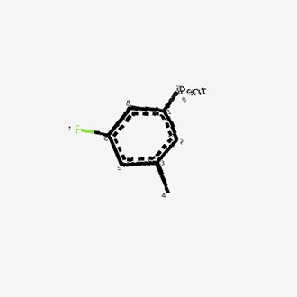 CCCC(C)c1cc(C)cc(F)c1